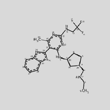 CCNC[C@@H]1CC[C@H](Nc2nc(NCC(F)(F)F)nc(C)c2-c2nc3ccccc3s2)C1